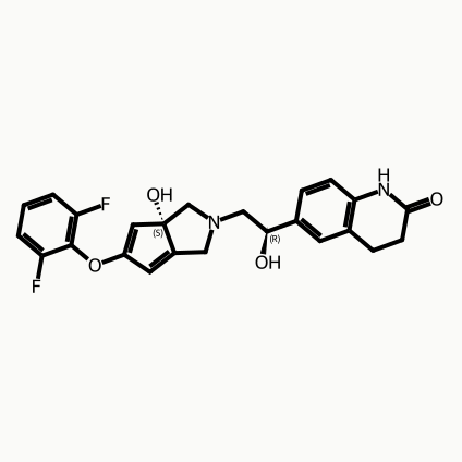 O=C1CCc2cc([C@@H](O)CN3CC4=CC(Oc5c(F)cccc5F)=C[C@@]4(O)C3)ccc2N1